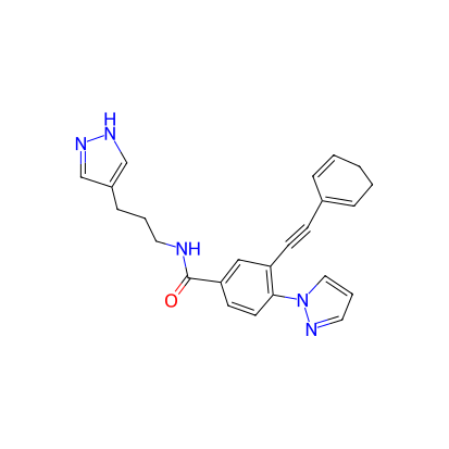 O=C(NCCCc1cn[nH]c1)c1ccc(-n2cccn2)c(C#CC2=CCCC=C2)c1